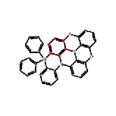 c1ccc([Si]2(c3ccccc3)c3ccccc3N(c3cccc4c3B3c5ccccc5Sc5cccc(c53)O4)c3ccccc32)cc1